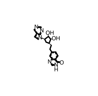 O=c1[nH]cnc2cc(CC[C@H]3C[C@@H](n4ccc5cncnc54)[C@H](O)[C@@H]3O)ccc12